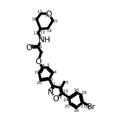 Cc1c(-c2ccc(OCC(=O)NCC3CCOCC3)cc2)noc1-c1ccc(Br)cc1